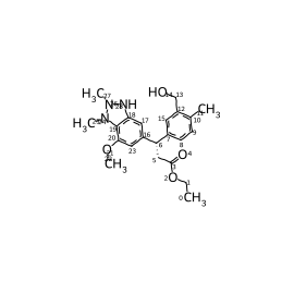 CCOC(=O)C[C@@H](c1ccc(C)c(CO)c1)c1cc2c(c(OC)c1)N(C)N(C)N2